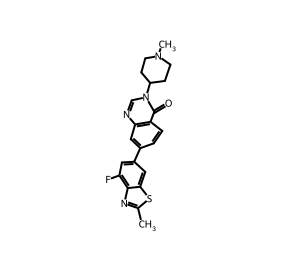 Cc1nc2c(F)cc(-c3ccc4c(=O)n(C5CCN(C)CC5)cnc4c3)cc2s1